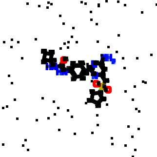 Nc1cc(CS(=O)(=O)C2CCCC2)nc(-c2ccc(NC(=O)NC3CCC3)cc2)n1